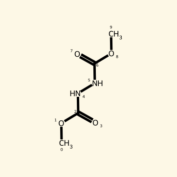 COC(=O)NNC(=O)OC